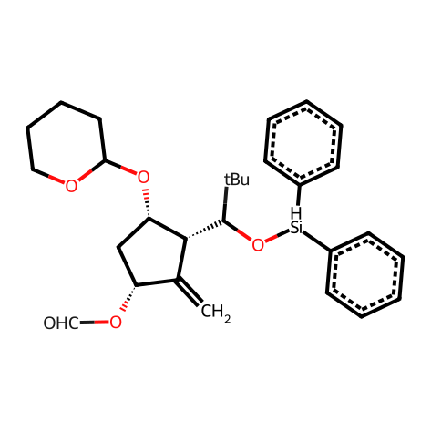 C=C1[C@H](OC=O)C[C@H](OC2CCCCO2)[C@@H]1C(O[SiH](c1ccccc1)c1ccccc1)C(C)(C)C